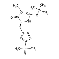 COC(=O)[C@H](Cn1cc(P(C)(C)=O)cn1)NC(=O)OC(C)(C)C